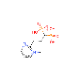 C[n+]1cccnc1CCC(P(=O)(O)O)P(=O)(O)O